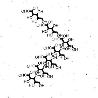 O=CC(O)C(O)C(O)C(O)CO.O=CC(O)C(O)C(O)C(O)CO.O=CC(O)C(O)C(O)C(O)CO.O=CC(O)C(O)C(O)C(O)CO.O=CC(O)C(O)C(O)C(O)CO.O=CC(O)C(O)C(O)C(O)CO.O=CC(O)C(O)C(O)C(O)CO